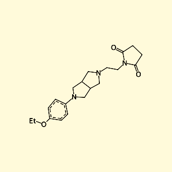 CCOc1ccc(N2CC3CN(CCN4C(=O)CCC4=O)CC3C2)cc1